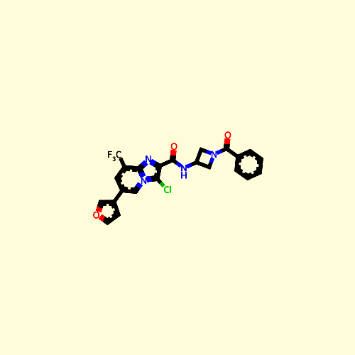 O=C(NC1CN(C(=O)c2ccccc2)C1)c1nc2c(C(F)(F)F)cc(-c3ccoc3)cn2c1Cl